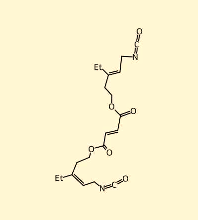 CCC(=CCN=C=O)CCOC(=O)C=CC(=O)OCCC(=CCN=C=O)CC